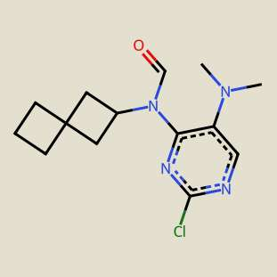 CN(C)c1cnc(Cl)nc1N(C=O)C1CC2(CCC2)C1